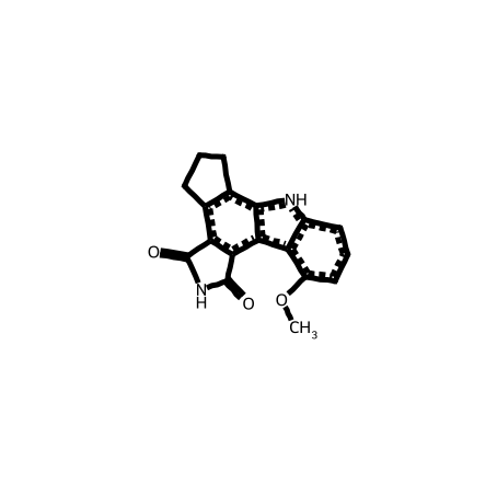 COc1cccc2[nH]c3c4c(c5c(c3c12)C(=O)NC5=O)CCC4